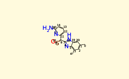 Cc1cc(C)c2nc(C(=S=O)c3cccc(N)n3)[nH]c2c1